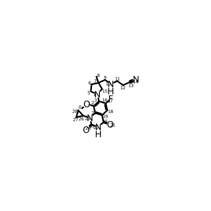 COc1c(N2CCC(C)(CNCCC#N)C2)c(F)cc2c(=O)[nH]c(=O)n(C3CC3)c12